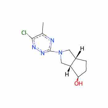 Cc1nc(N2C[C@@H]3CC[C@@H](O)[C@@H]3C2)nnc1Cl